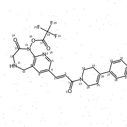 O=C(/C=C/c1cnc2c(c1)CNCC(=O)N2OC(=O)C(F)(F)F)N1CC=C(c2ccccc2)CC1